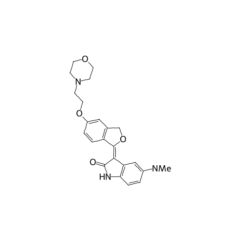 CNc1ccc2c(c1)/C(=C1\OCc3cc(OCCN4CCOCC4)ccc31)C(=O)N2